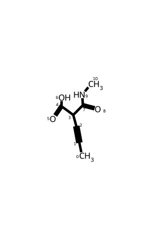 CC#CC(C(=O)O)C(=O)NC